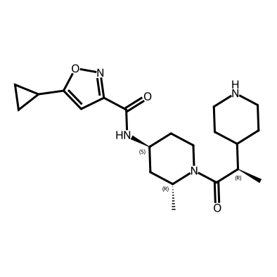 C[C@@H]1C[C@@H](NC(=O)c2cc(C3CC3)on2)CCN1C(=O)[C@H](C)C1CCNCC1